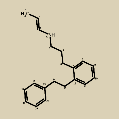 CC=CNCCCc1ccccc1CCc1ccccc1